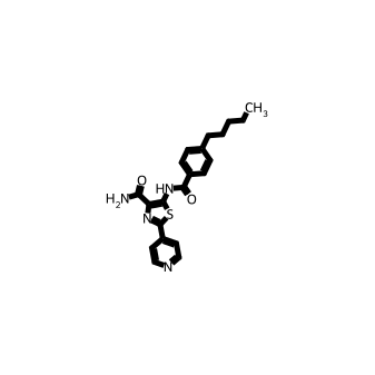 CCCCCc1ccc(C(=O)Nc2sc(-c3ccncc3)nc2C(N)=O)cc1